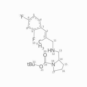 C/C(=C\c1ccc(F)cc1F)CNCC1CCCN1C(=O)OC(C)(C)C